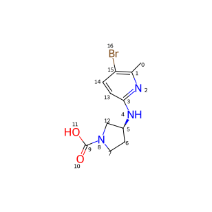 Cc1nc(N[C@H]2CCN(C(=O)O)C2)ccc1Br